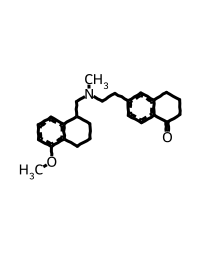 COc1cccc2c1CCCC2CN(C)CCc1ccc2c(c1)CCCC2=O